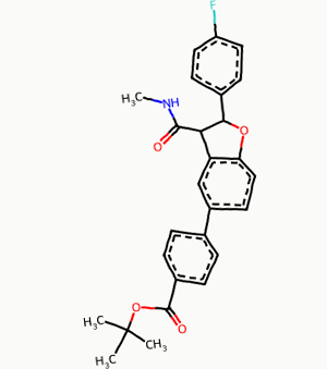 CNC(=O)C1c2cc(-c3ccc(C(=O)OC(C)(C)C)cc3)ccc2OC1c1ccc(F)cc1